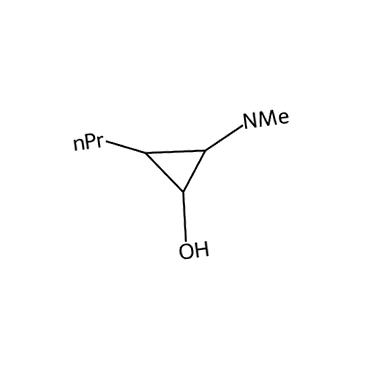 CCCC1C(O)C1NC